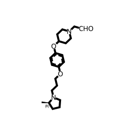 C[C@@H]1CCCN1CCCOc1ccc(OC2CCN(CC=O)CC2)cc1